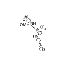 COc1cc(S(C)(=O)=O)ccc1NCC#Cc1cc2c(NC3CCC(N4CC5(CCCOC5)C4)CC3)cccc2n1CC(F)(F)F